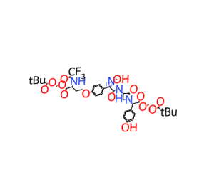 CC(C)(C)C(=O)OCOC(=O)C(CCOc1ccc(/C(=N/O)C(=O)NC2CN(C(C(=O)OCOC(=O)C(C)(C)C)c3ccc(O)cc3)C2=O)cc1)NC(=O)C(F)(F)F